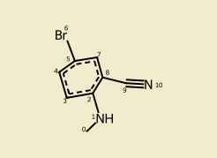 CNc1ccc(Br)cc1C#N